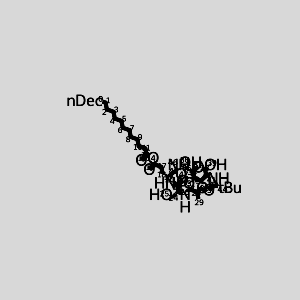 CCCCCCCCCCCCCCCCCCCCCC(=O)OC(=O)CC[C@@H](NC(=O)[C@H](CO)NCC(C)O[C@H]1[C@H](O)[C@@H](CO)O[C@H](O)[C@@H]1NC(=O)C(C)(C)C)C(N)=O